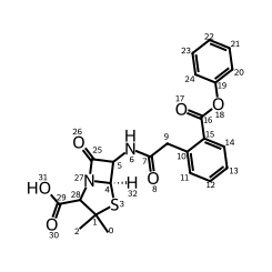 CC1(C)S[C@@H]2C(NC(=O)Cc3ccccc3C(=O)Oc3ccccc3)C(=O)N2C1C(=O)O